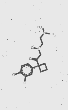 CN(C)CC[S+]([O-])CC(=O)C1(c2ccc(Cl)c(Cl)c2)CCC1